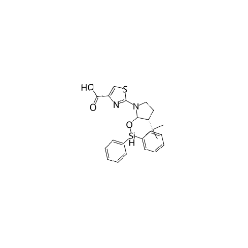 CC(C)(C)[C@H]1CCN(c2nc(C(=O)O)cs2)C1O[SiH](c1ccccc1)c1ccccc1